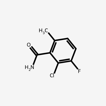 Cc1ccc(F)c(Cl)c1C(N)=O